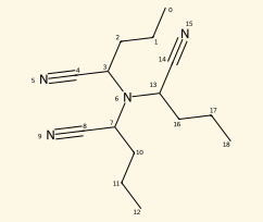 CCCC(C#N)N(C(C#N)CCC)C(C#N)CCC